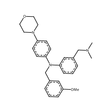 COc1cccc(CN(c2ccc(N3CCOCC3)cc2)c2cccc(CN(C)C)c2)c1